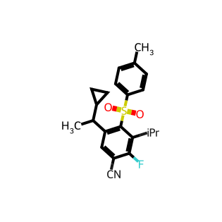 Cc1ccc(S(=O)(=O)c2c(C(C)C3CC3)cc(C#N)c(F)c2C(C)C)cc1